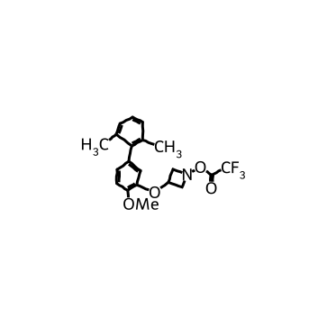 COc1ccc(-c2c(C)cccc2C)cc1OC1CN(OC(=O)C(F)(F)F)C1